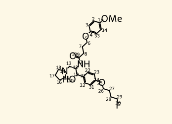 COc1ccc(OCCCC(=O)N[C@H](CN2CCCC2)[C@H](O)c2ccc(OCCCCF)cc2)cc1